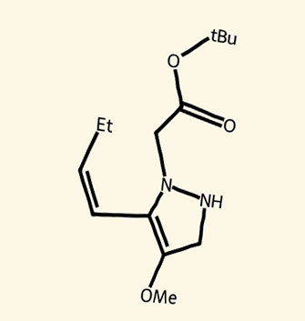 CC/C=C\C1=C(OC)CNN1CC(=O)OC(C)(C)C